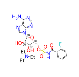 CCN(CC)CC.Nc1ncnc2c1ncn2[C@@H]1O[C@H](COS(=O)(=O)NC(=O)c2ccccc2F)[C@@H](O)[C@H]1O